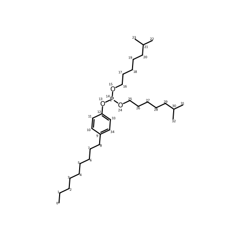 CCCCCCCCCc1ccc(OP(OCCCCCC(C)C)OCCCCCC(C)C)cc1